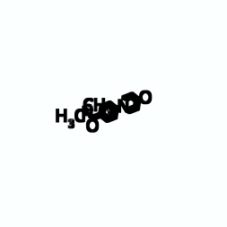 CN(C)C(=O)c1ccc(-n2ccc(=O)cc2)cc1